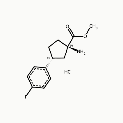 COC(=O)[C@@]1(N)CC[C@@H](c2ccc(I)cc2)C1.Cl